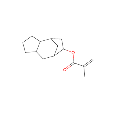 C=C(C)C(=O)OC1CC2CC1CC1CCCC12